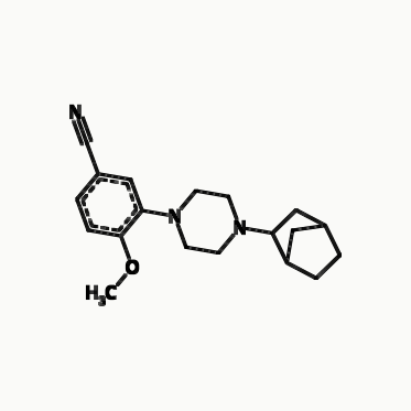 COc1ccc(C#N)cc1N1CCN(C2CC3CCC2C3)CC1